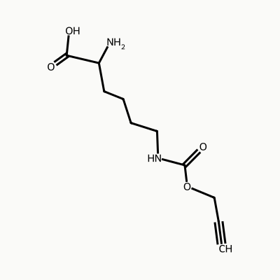 C#CCOC(=O)NCCCCC(N)C(=O)O